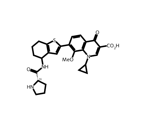 COc1c(-c2cc3c(s2)CCCC3NC(=O)[C@@H]2CCCN2)ccc2c(=O)c(C(=O)O)cn(C3CC3)c12